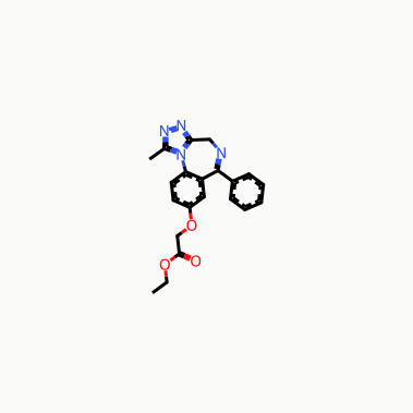 CCOC(=O)COc1ccc2c(c1)C(c1ccccc1)=NCc1nnc(C)n1-2